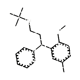 COc1ccc(C)cc1C(CCNC(C)(C)C)c1ccccc1